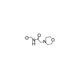 [O]CNC(=O)CN1CCOCC1